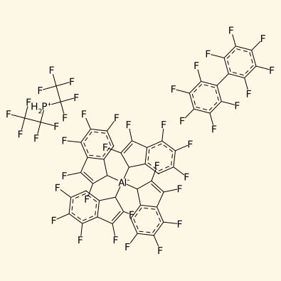 FC(F)(F)C(F)(F)[PH2+]C(F)(F)C(F)(F)F.FC1=C(F)[CH]([Al-]([CH]2C(F)=C(F)c3c2cc(F)c(F)c3F)([CH]2C(F)=C(F)c3c2cc(F)c(F)c3F)[CH]2C(F)=C(F)c3c2cc(F)c(F)c3F)c2cc(F)c(F)c(F)c21.Fc1c(F)c(F)c(-c2c(F)c(F)c(F)c(F)c2F)c(F)c1F